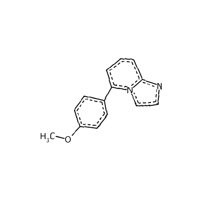 COc1ccc(-c2cccc3nccn23)cc1